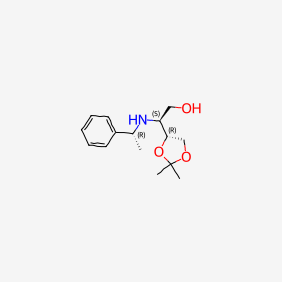 C[C@@H](N[C@@H](CO)[C@@H]1COC(C)(C)O1)c1ccccc1